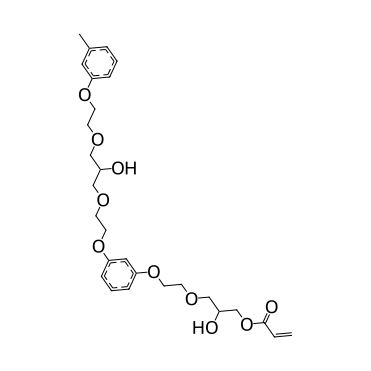 C=CC(=O)OCC(O)COCCOc1cccc(OCCOCC(O)COCCOc2cccc(C)c2)c1